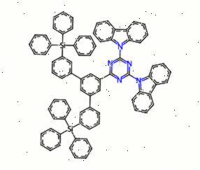 c1ccc([Si](c2ccccc2)(c2ccccc2)c2cccc(-c3cc(-c4cccc([Si](c5ccccc5)(c5ccccc5)c5ccccc5)c4)cc(-c4nc(-n5c6ccccc6c6ccccc65)nc(-n5c6ccccc6c6ccccc65)n4)c3)c2)cc1